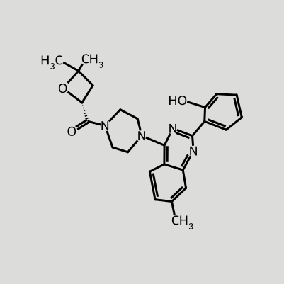 Cc1ccc2c(N3CCN(C(=O)[C@H]4CC(C)(C)O4)CC3)nc(-c3ccccc3O)nc2c1